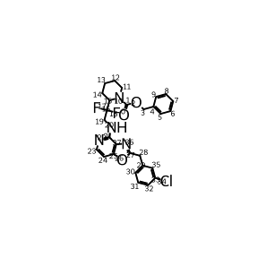 O=C(OCc1ccccc1)N1CCCCC1C(F)(F)CNc1nccc2oc(Cc3cccc(Cl)c3)nc12